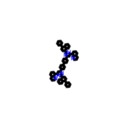 c1ccc(-c2ccc(-c3nc(-c4ccc(-c5ccc(-c6cc(-c7cccc8cccnc78)nc(-c7ccc(-c8ccccc8)c8ccccc78)n6)cc5)cc4)cc(-c4cccc5cccnc45)n3)c3ccccc23)cc1